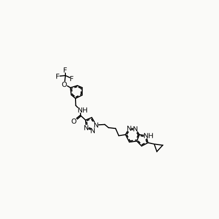 O=C(NCc1cccc(OC(F)(F)F)c1)c1cn(CCCCc2cc3cc(C4CC4)[nH]c3nn2)nn1